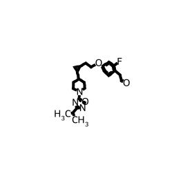 CC(C)c1noc(N2CCC(C3CC3CCOc3ccc(CC=O)c(F)c3)CC2)n1